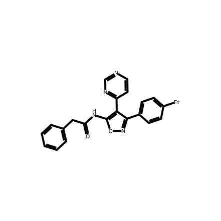 CCc1ccc(-c2noc(NC(=O)Cc3ccccc3)c2-c2ccncn2)cc1